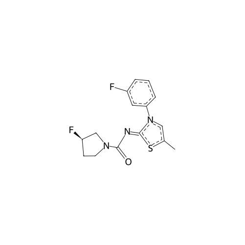 Cc1cn(-c2cccc(F)c2)c(=NC(=O)N2CC[C@@H](F)C2)s1